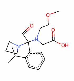 COCCN(CC(=O)O)C(C=O)(c1ccccc1C(C)C)N1CCC1